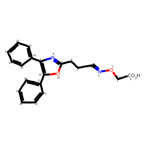 O=C(O)CON=CCCc1nc(-c2ccccc2)c(-c2ccccc2)o1